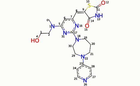 CN(CCO)c1cc(C=C2SC(=O)NC2=O)nc(N2CCCN(c3ccncc3)CC2)n1